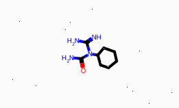 N=C(N)N(C(N)=O)C1CCCCC1